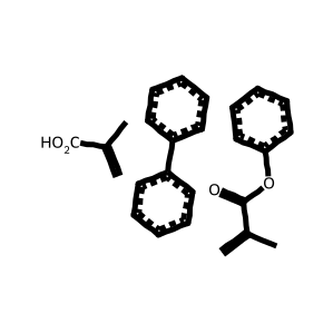 C=C(C)C(=O)O.C=C(C)C(=O)Oc1ccccc1.c1ccc(-c2ccccc2)cc1